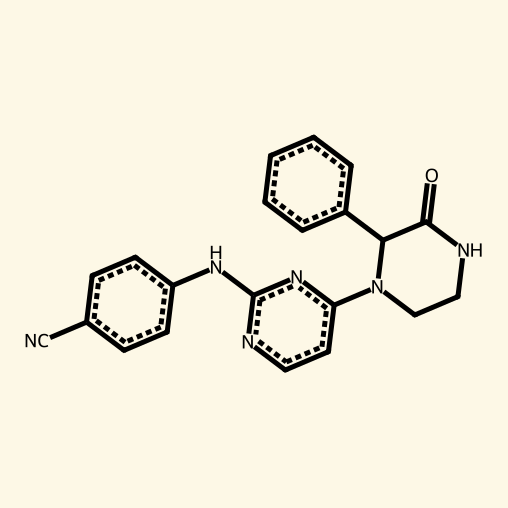 N#Cc1ccc(Nc2nccc(N3CCNC(=O)C3c3ccccc3)n2)cc1